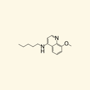 CCCCCNc1ccnc2c(OC)cccc12